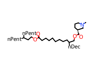 CCCCCCCCCCC(CCCCCCCCC(=O)OCCC(CCCCC)CCCCC)COC(=O)[C@H]1CCCN(C)C1